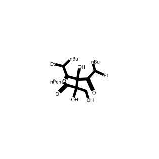 CCCCCC(=O)C(O)(CO)C(O)(C(=O)C(CC)CCCC)C(=O)C(CC)CCCC